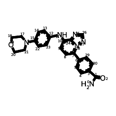 NC(=O)c1ccc(-c2ccc(Nc3ccc(N4CCOCC4)cc3)c3ncnn23)cc1